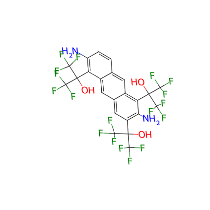 Nc1ccc2cc3c(C(O)(C(F)(F)F)C(F)(F)F)c(N)c(C(O)(C(F)(F)F)C(F)(F)F)cc3cc2c1C(O)(C(F)(F)F)C(F)(F)F